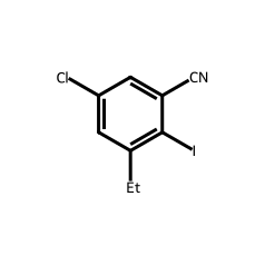 CCc1cc(Cl)cc(C#N)c1I